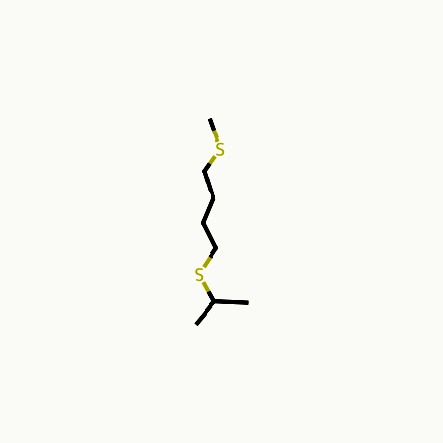 CSCCCCSC(C)C